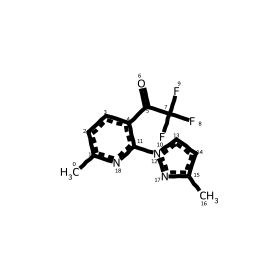 Cc1ccc(C(=O)C(F)(F)F)c(-n2ccc(C)n2)n1